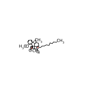 CCCCCCCCCCOC(=O)C(C)(P=O)C1(C(=O)c2c(OC)cccc2OC)CCCCC1